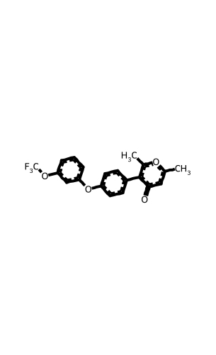 Cc1cc(=O)c(-c2ccc(Oc3cccc(OC(F)(F)F)c3)cc2)c(C)o1